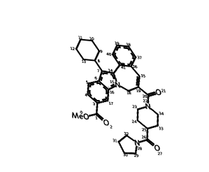 COC(=O)c1ccc2c(C3CCCCC3)c3n(c2c1)CC(C(=O)N1CCC(C(=O)N2CCCC2)CC1)=Cc1ccccc1-3